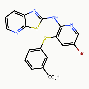 O=C(O)c1cccc(Sc2cc(Br)cnc2Nc2nc3cccnc3s2)c1